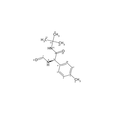 Cc1ccc([C@@H](N[C]=O)C(=O)NC(C)(C)C)cc1